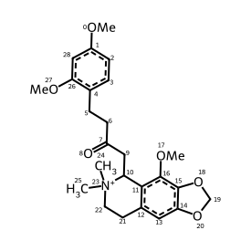 COc1ccc(CCC(=O)CC2c3c(cc4c(c3OC)OCO4)CC[N+]2(C)C)c(OC)c1